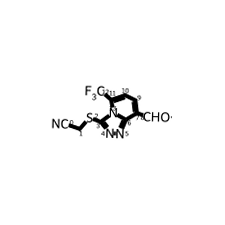 N#CCSc1nnc2c([C]=O)ccc(C(F)(F)F)n12